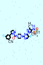 CCS(=O)(=O)Nc1c(C)nn(-c2nc(N3CCN(C(=O)N4N=CCC4c4cc(F)cc(C#N)c4)CC3)ncc2F)c1C